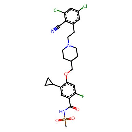 CS(=O)(=O)NC(=O)c1cc(C2CC2)c(OCC2CCN(CCc3cc(Cl)cc(Cl)c3C#N)CC2)cc1F